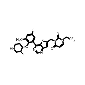 Cc1cc(Cl)cc(-c2ncnc3cc(Cn4c(=O)ccn(CC(F)(F)F)c4=O)sc23)c1O[C@@H]1CCNC[C@@H]1F